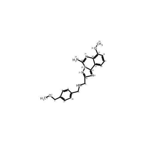 COCc1ccc(CNCc2nc3c4cccc(OC)c4nc(N)n3n2)cc1